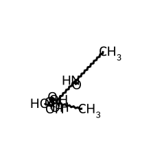 CCCCCCCCCCCCCCCCCCNC(=O)CCCCCCCCCCCN(CCCCCCCCCCCC)[C@@H]1[C@@H](O)[C@H](O)[C@@H](CO)OC1(O)C=O